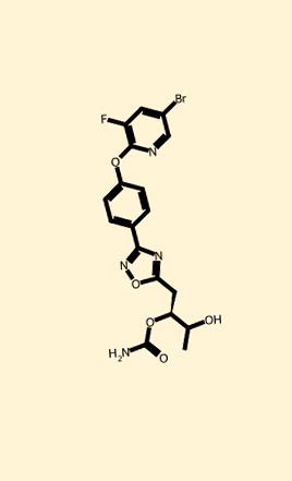 CC(O)[C@H](Cc1nc(-c2ccc(Oc3ncc(Br)cc3F)cc2)no1)OC(N)=O